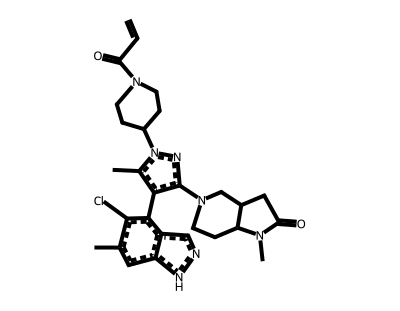 C=CC(=O)N1CCC(n2nc(N3CCC4C(CC(=O)N4C)C3)c(-c3c(Cl)c(C)cc4[nH]ncc34)c2C)CC1